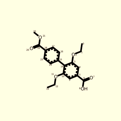 CCOc1cc(C(=O)O)cc(OCC)c1-c1ccc(C(=O)OC)cc1